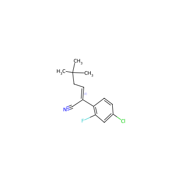 CC(C)(C)C/C=C(\C#N)c1ccc(Cl)cc1F